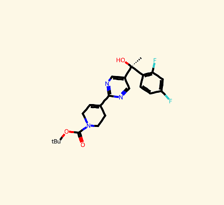 CC(C)(C)OC(=O)N1CC=C(c2ncc([C@@](C)(O)c3ccc(F)cc3F)cn2)CC1